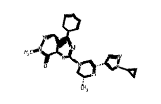 C[C@@H]1CN(c2nc(C3CCCCC3)c3cnn(C)c(=O)c3n2)C[C@H](c2cnn(C3CC3)c2)O1